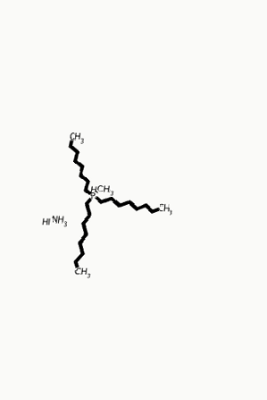 CCCCCCCC[PH](C)(CCCCCCCC)CCCCCCCC.I.N